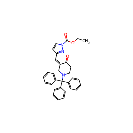 CCOC(=O)n1ccc(/C=C2/CN(C(c3ccccc3)(c3ccccc3)c3ccccc3)CCC2=O)n1